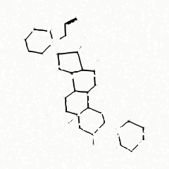 C=CC[N+]1([C@H]2CC3C4CC[C@H]5C[C@H](O)[C@@H](N6CCCCC6)C[C@]5(C)C4CC[C@]3(C)[C@@H]2OC(C)=O)CCCCC1.[Br-]